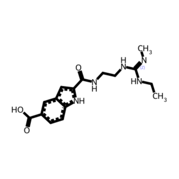 CCN/C(=N/C)NCCNC(=O)c1cc2cc(C(=O)O)ccc2[nH]1